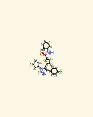 O=C(Nc1ccccc1F)c1ccc(-c2c(-c3ccc(F)cc3)ncn2C2CCCC2)s1